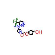 O=C(COc1ccc(CO)cc1)N1CCC(Nc2nnccc2C(F)(F)F)C1